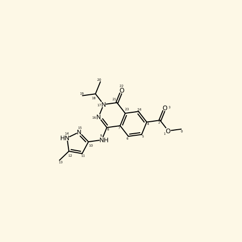 COC(=O)c1ccc2c(Nc3cc(C)[nH]n3)nn(C(C)C)c(=O)c2c1